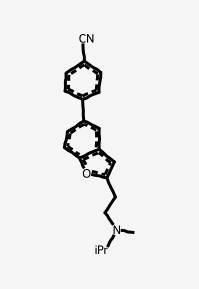 CC(C)N(C)CCc1cc2cc(-c3ccc(C#N)cc3)ccc2o1